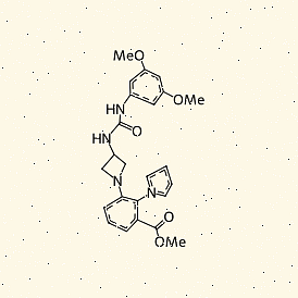 COC(=O)c1cccc(N2CC(NC(=O)Nc3cc(OC)cc(OC)c3)C2)c1-n1cccc1